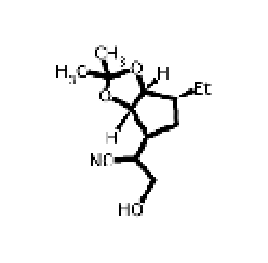 CC[C@H]1CC(C(C#N)CO)[C@@H]2OC(C)(C)O[C@H]12